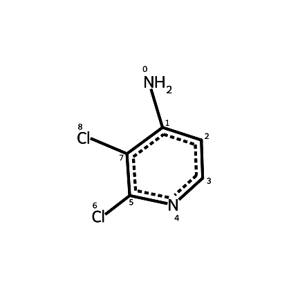 Nc1ccnc(Cl)c1Cl